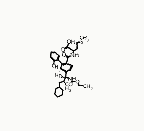 CCOC(=O)NC(O)(c1ccc(C(=O)NC(CCSC)C(=O)O)c(-c2ccccc2C)c1)C(C)CC1CCCCC1